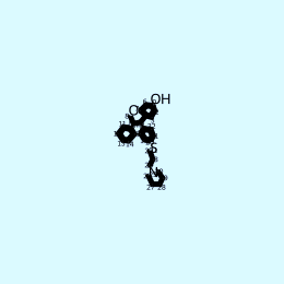 Oc1ccc2c(c1)OC[C@H](c1ccccc1)[C@@H]2c1ccc(SCCCN2CCCCC2)cc1